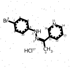 C/C(=N/Nc1ccc(Br)cc1)c1cccnc1.Cl